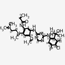 C=CC(=O)Nc1cc(Nc2ncnc(Nc3cc(F)c(Cl)c(F)c3C(C)(C)O)n2)c(OC)cc1N(C)CCN(C)C